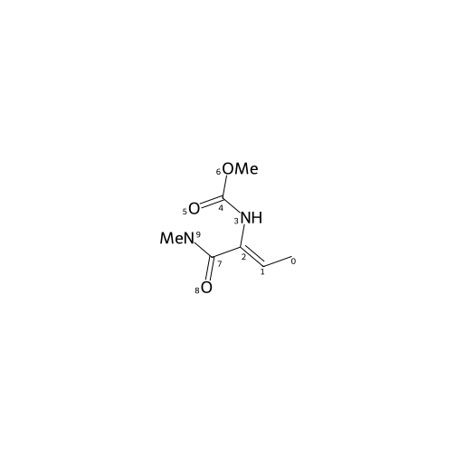 C/C=C(\NC(=O)OC)C(=O)NC